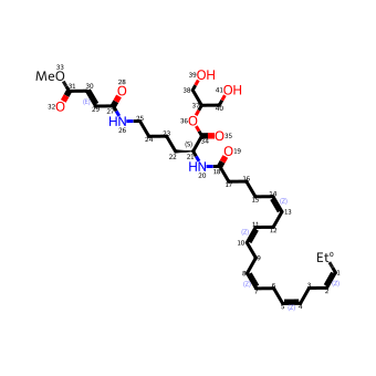 CC/C=C\C/C=C\C/C=C\C/C=C\C/C=C\CCCC(=O)N[C@@H](CCCCNC(=O)/C=C/C(=O)OC)C(=O)OC(CO)CO